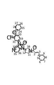 O=C(/C=C/c1ccccc1)N1CC[C@@H](n2c(=O)n(-c3ccc(Oc4ccccc4)c(Cl)c3)c3cnccc32)C1